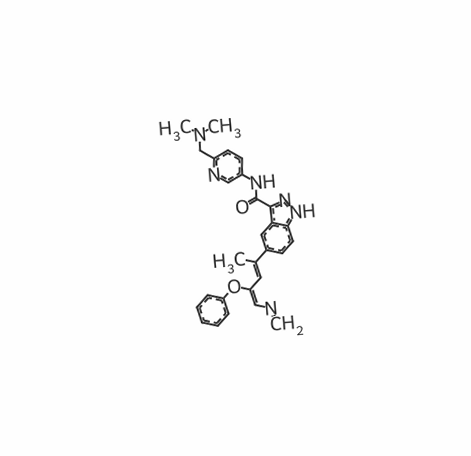 C=N/C=C(\C=C(/C)c1ccc2[nH]nc(C(=O)Nc3ccc(CN(C)C)nc3)c2c1)Oc1ccccc1